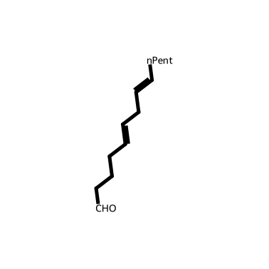 CCCCC/C=C/C/C=C/CCCC=O